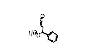 O=C=CCC(OO)c1ccccc1